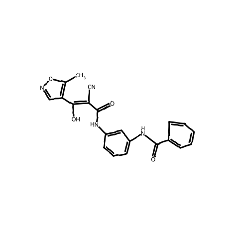 Cc1oncc1C(O)=C(C#N)C(=O)Nc1cccc(NC(=O)c2ccccc2)c1